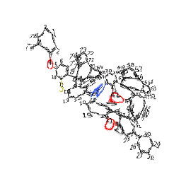 c1ccc(Oc2ccc3c(c2)Sc2ccc(N(c4ccc5oc6cc(-c7ccccc7)ccc6c5c4)c4cccc5c4Oc4ccccc4C54c5ccccc5-c5ccccc54)cc2C32c3ccccc3-c3ccccc32)cc1